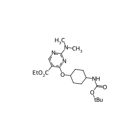 CCOC(=O)c1cnc(N(C)C)nc1OC1CCC(NC(=O)OC(C)(C)C)CC1